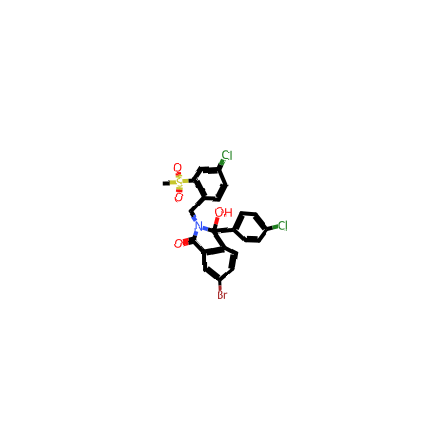 CS(=O)(=O)c1cc(Cl)ccc1CN1C(=O)c2cc(Br)ccc2C1(O)c1ccc(Cl)cc1